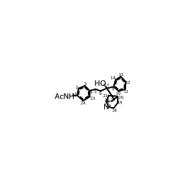 CC(=O)Nc1ccc(CCC(O)(c2ccccc2)C2CN3CCC2CC3)cc1